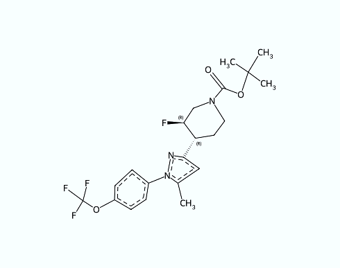 Cc1cc([C@H]2CCN(C(=O)OC(C)(C)C)C[C@@H]2F)nn1-c1ccc(OC(F)(F)F)cc1